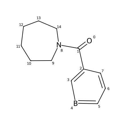 O=C(c1cbccc1)N1CCCCCC1